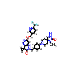 CN1C(=O)NCC12CCN(c1ccc(CNC(=O)C3(c4ccc(OCc5ccc(C(F)F)nc5)nn4)CC3)cc1)CC2